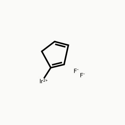 [F-].[F-].[Ir+2][C]1=CC=CC1